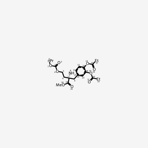 CCCOC(=O)OCC[C@@](N)(Cc1ccc(OC(=O)CC)c(OC(=O)CC)c1)C(=O)OC